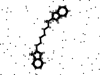 c1ccc2[nH]c(SCCCCCNc3nc4ccccc4s3)nc2c1